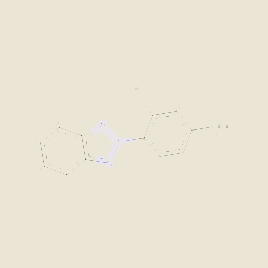 CC(C)COc1ccc(-n2nc3ccccc3n2)c(O)c1